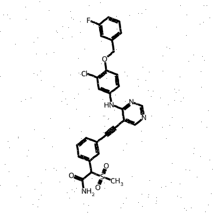 CS(=O)(=O)C(C(N)=O)c1cccc(C#Cc2cncnc2Nc2ccc(OCc3cccc(F)c3)c(Cl)c2)c1